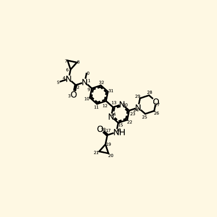 CN(C(=O)N(C)C1CC1)c1ccc(-c2nc(NC(=O)C3CC3)cc(N3CCOCC3)n2)cc1